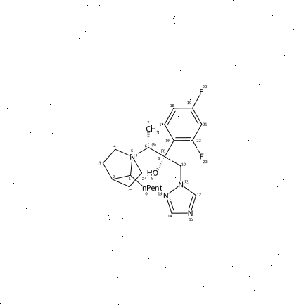 CCCCCC1C2CC[N+]1([C@H](C)[C@](O)(Cn1cncn1)c1ccc(F)cc1F)CC2